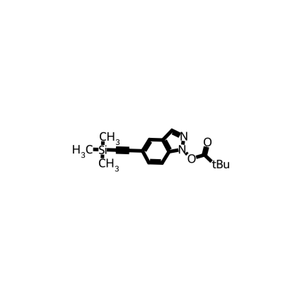 CC(C)(C)C(=O)On1ncc2cc(C#C[Si](C)(C)C)ccc21